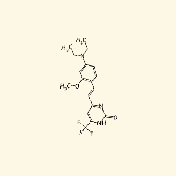 CCN(CC)c1ccc(C=Cc2cc(C(F)(F)F)[nH]c(=O)n2)c(OC)c1